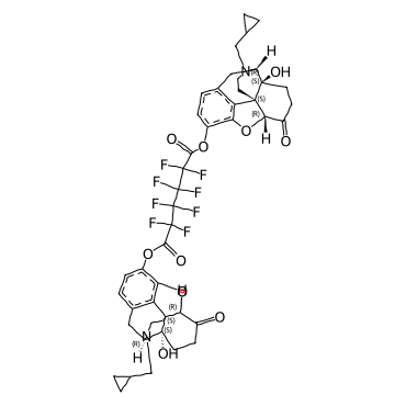 O=C1CC[C@@]2(O)[C@H]3Cc4ccc(OC(=O)C(F)(F)C(F)(F)C(F)(F)C(F)(F)C(=O)Oc5ccc6c7c5O[C@H]5C(=O)CC[C@@]8(O)[C@@H](C6)N(CC6CC6)CC[C@]758)c5c4[C@@]2(CCN3CC2CC2)[C@H]1O5